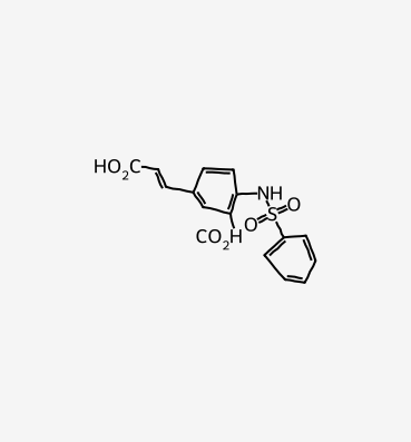 O=C(O)C=Cc1ccc(NS(=O)(=O)c2ccccc2)c(C(=O)O)c1